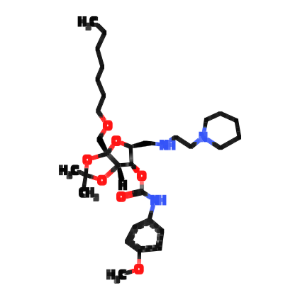 CCCCCCCOC[C@@]12O[C@@H](CNCCN3CCCCC3)[C@@H](OC(=O)Nc3ccc(OC)cc3)[C@@H]1OC(C)(C)O2